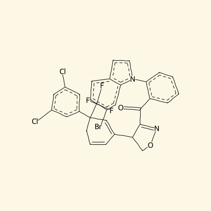 O=C(C1=NOCC1C1=CC(c2cc(Cl)cc(Cl)c2)(C(F)(F)F)CC=C1)c1ccccc1-n1ccc2ccc(Br)cc21